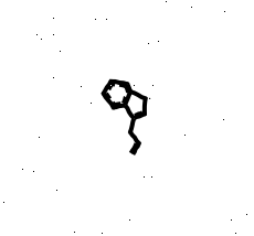 C=CCC1=C[CH]c2ccccc21